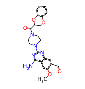 COc1cc2c(N)nc(N3CCN(C(=O)C4COc5ccccc5O4)CC3)nc2cc1C=O